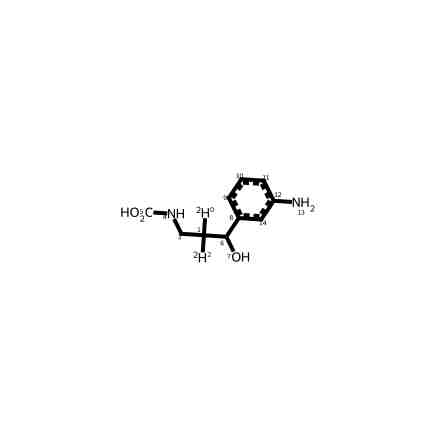 [2H]C([2H])(CNC(=O)O)C(O)c1cccc(N)c1